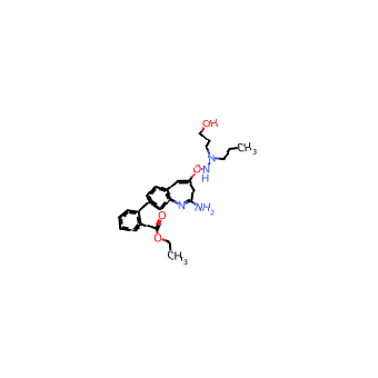 CCCN(CCCO)NOC1=Cc2ccc(-c3ccccc3C(=O)OCC)cc2N=C(N)C1